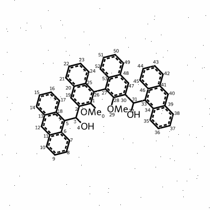 COc1c(C(O)c2c3ccccc3cc3ccccc23)cc2ccccc2c1-c1c(OC)c(C(O)c2c3ccccc3cc3ccccc23)cc2ccccc12